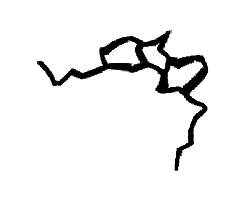 CCCCc1ccc2c(c1)-c1cc(CCCC)ccc1C2